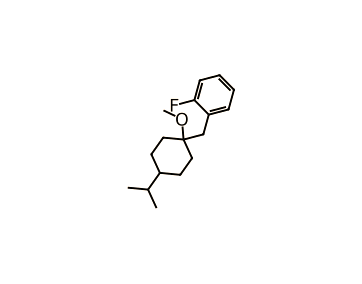 COC1(Cc2ccccc2F)CCC(C(C)C)CC1